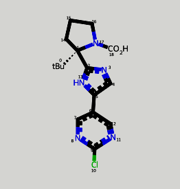 CC(C)(C)[C@]1(c2ncc(-c3cnc(Cl)nc3)[nH]2)CCCN1C(=O)O